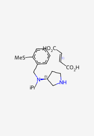 CSc1ccccc1CN(C(C)C)[C@H]1CCNC1.O=C(O)/C=C/C(=O)O